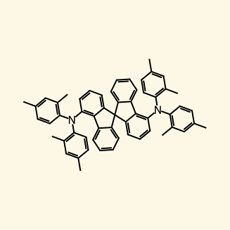 Cc1ccc(N(c2ccc(C)cc2C)c2cccc3c2-c2ccccc2C32c3ccccc3-c3c(N(c4ccc(C)cc4C)c4ccc(C)cc4C)cccc32)c(C)c1